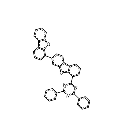 c1ccc(-c2nc(-c3ccccc3)nc(-c3cccc4c3oc3cc(-c5cccc6c5oc5ccccc56)ccc34)n2)cc1